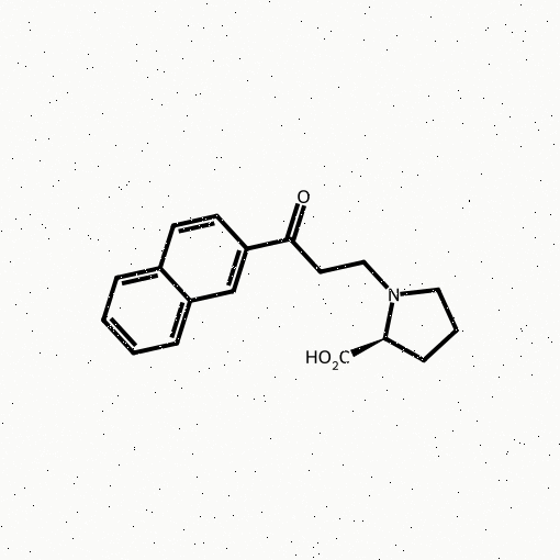 O=C(CCN1CCC[C@H]1C(=O)O)c1ccc2ccccc2c1